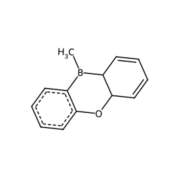 CB1c2ccccc2OC2C=CC=CC12